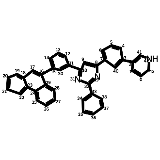 C1=CC(c2cccc(-c3cc(-c4cccc(-c5cc6ccccc6c6ccccc56)c4)nc(-c4ccccc4)n3)c2)=CNC1